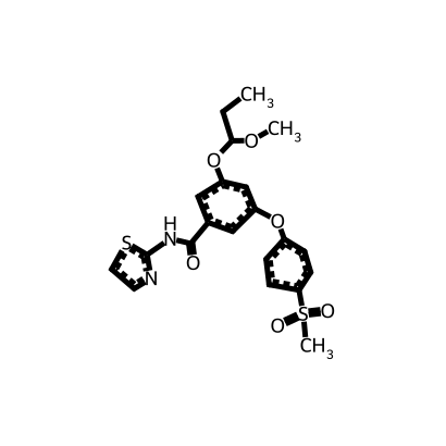 CCC(OC)Oc1cc(Oc2ccc(S(C)(=O)=O)cc2)cc(C(=O)Nc2nccs2)c1